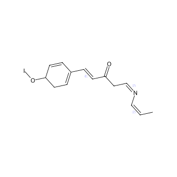 C/C=C\N=C/CC(=O)/C=C/C1=CCC(OI)C=C1